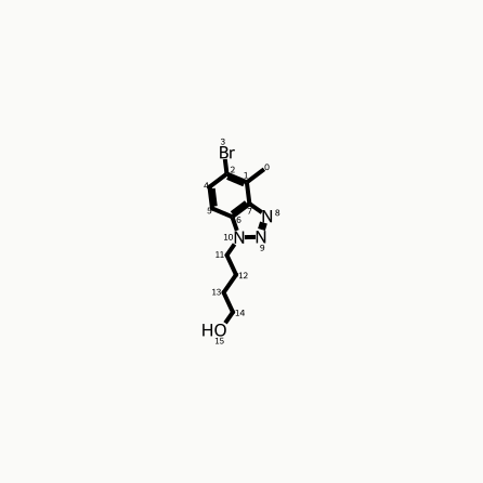 Cc1c(Br)ccc2c1nnn2CCCCO